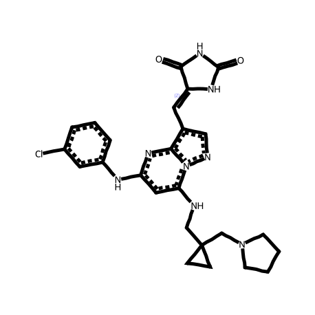 O=C1NC(=O)/C(=C/c2cnn3c(NCC4(CN5CCCC5)CC4)cc(Nc4cccc(Cl)c4)nc23)N1